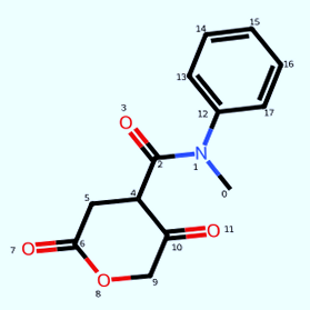 CN(C(=O)C1CC(=O)OCC1=O)c1ccccc1